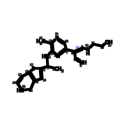 CC(Nc1nc(/C(C=N)=C/NCCO)cnc1N)c1cc2c(s1)C=CNC2